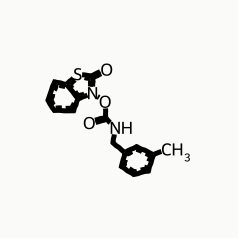 Cc1cccc(CNC(=O)On2c(=O)sc3ccccc32)c1